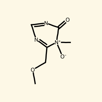 COCC1=NC=NC(=O)[N+]1(C)[O-]